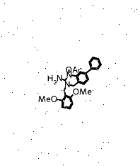 COc1cccc(OC)c1CN1Cc2ccc(-c3ccccc3)cc2N(OC(C)=O)C1N